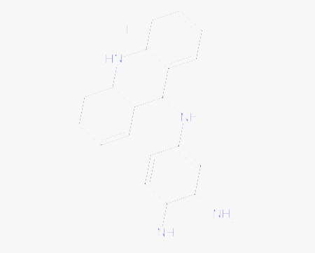 NC1C=CC(NC2C3=CC=CC[C@@H]3NC3CCC=CC32)=CC1N